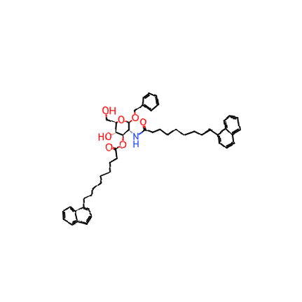 O=C(CCCCCCCCc1cccc2ccccc12)N[C@H]1[C@H](OCc2ccccc2)O[C@H](CO)[C@@H](O)[C@@H]1OC(=O)CCCCCCCCc1cccc2ccccc12